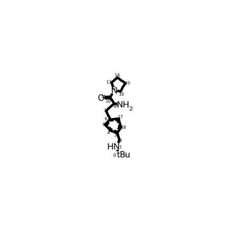 CC(C)(C)NCc1ccc(CC(N)C(=O)N2CCCC2)cc1